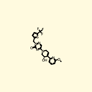 COc1cccc(C2=CCN(c3cnn(Cc4ccc(C(F)(F)F)s4)c(=O)n3)C[C@@H]2O)n1